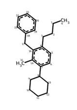 CCCCc1ccc(C2CCCCC2)c(C)c1Cc1ccccc1